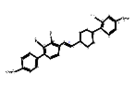 CCCCCc1ccc(-c2ccc(/C=C/C3CCC(c4ccc(OC)cc4F)CC3)c(F)c2F)cc1